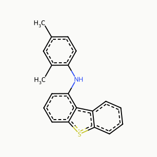 Cc1ccc(Nc2cccc3sc4ccccc4c23)c(C)c1